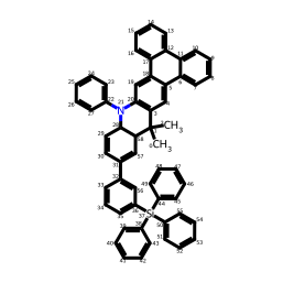 CC1(C)c2cc3c4ccccc4c4ccccc4c3cc2N(c2ccccc2)C2C=CC(c3cccc([Si](c4ccccc4)(c4ccccc4)c4ccccc4)c3)=CC21